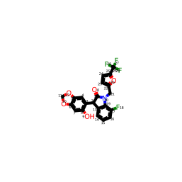 O=C1C(c2cc3c(cc2O)OCO3)c2cccc(F)c2N1Cc1ccc(C(F)(F)F)o1